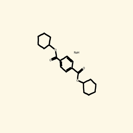 O=C(OC1CCCCC1)c1ccc(C(=O)OC2CCCCC2)cc1.[NaH]